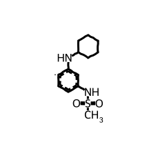 CS(=O)(=O)Nc1cc[c]c(NC2CCCCC2)c1